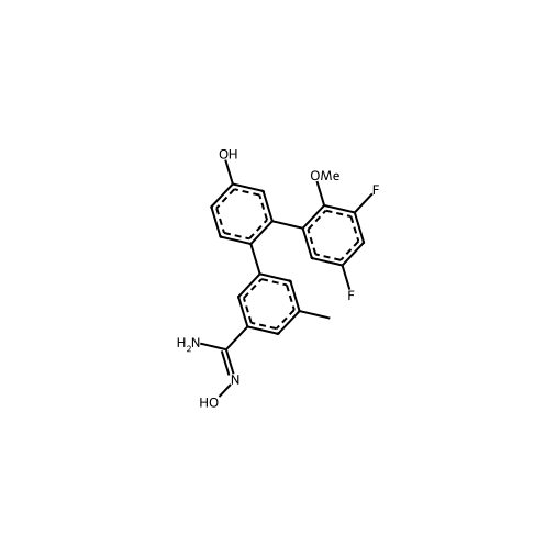 COc1c(F)cc(F)cc1-c1cc(O)ccc1-c1cc(C)cc(C(N)=NO)c1